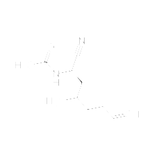 C=CCCC(C)C[C@H](C#N)NC(C)=O